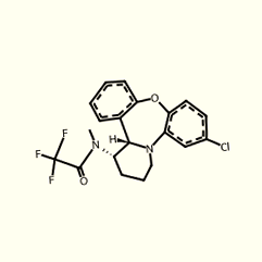 CN(C(=O)C(F)(F)F)[C@H]1CCCN2c3cc(Cl)ccc3Oc3ccccc3[C@@H]12